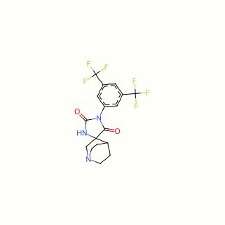 O=C1NC2(CN3CCC2CC3)C(=O)N1c1cc(C(F)(F)F)cc(C(F)(F)F)c1